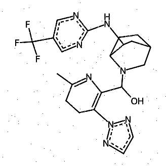 CC1=NC(C(O)N2CC3CCC2C(Nc2ncc(C(F)(F)F)cn2)C3)=C(n2nccn2)CC1